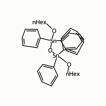 CCCCCC[O][Sn]([O][Sn]([O]CCCCCC)([c]1ccccc1)[c]1ccccc1)([c]1ccccc1)[c]1ccccc1